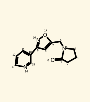 O=C1CCCN1Cc1cc(-c2cccnc2)no1